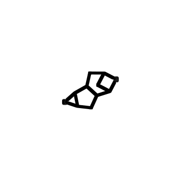 C1C2CC3C(CC4OC43)C1O2